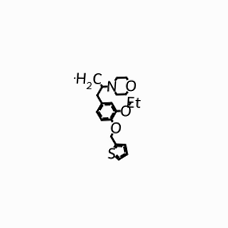 [CH2]C(Cc1ccc(OCc2cccs2)c(OCC)c1)N1CCOCC1